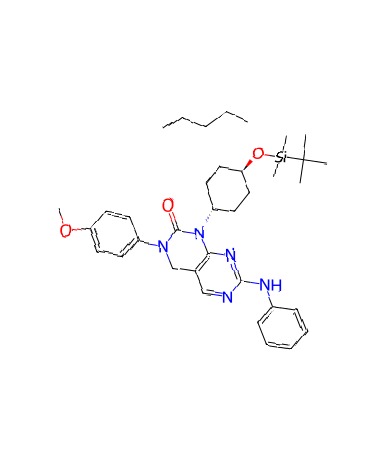 CCCCC.COc1ccc(N2Cc3cnc(Nc4ccccc4)nc3N([C@H]3CC[C@H](O[Si](C)(C)C(C)(C)C)CC3)C2=O)cc1